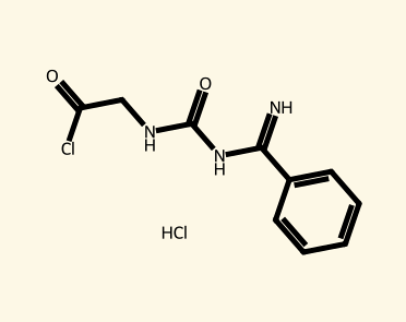 Cl.N=C(NC(=O)NCC(=O)Cl)c1ccccc1